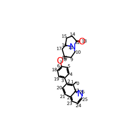 Cc1c(-c2ccc(O[C@@H]3CCN4C(=O)CCC4C3)cc2)ccc2cccnc12